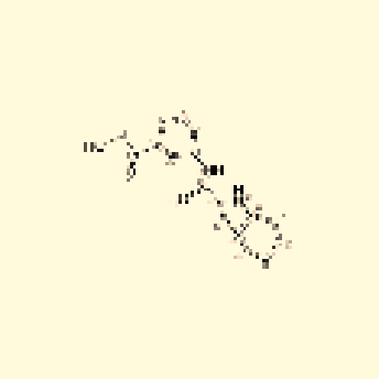 O=C(CO)c1cccc(NC(=O)c2cc3ccccc3[nH]2)c1